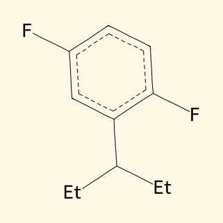 CCC(CC)c1cc(F)ccc1F